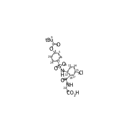 CC(C)(C)C(=O)Oc1ccc(S(=O)(=O)Nc2ccc(Cl)cc2C(=O)NCC(=O)O)cc1